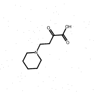 O=C(O)C(=O)CCN1CCCCC1